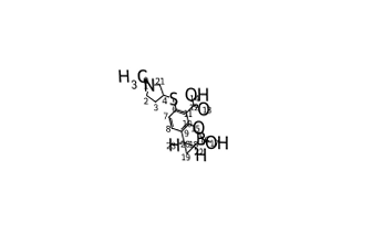 CN1CCC(Sc2ccc3c(c2C(=O)O)OB(O)[C@@H]2C[C@H]32)C1